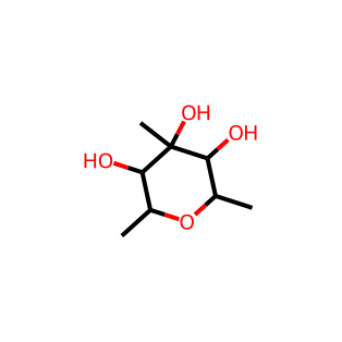 CC1OC(C)C(O)C(C)(O)C1O